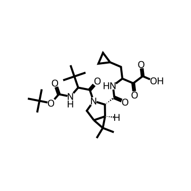 CC(C)(C)OC(=O)NC(C(=O)N1CC2[C@@H]([C@H]1C(=O)NC(CC1CC1)C(=O)C(=O)O)C2(C)C)C(C)(C)C